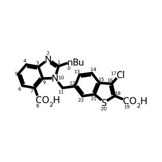 CCCCc1nc2cccc(C(=O)O)c2n1Cc1ccc2c(Cl)c(C(=O)O)sc2c1